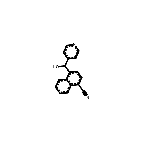 N#Cc1ccc(C(O)c2ccncc2)c2ccccc12